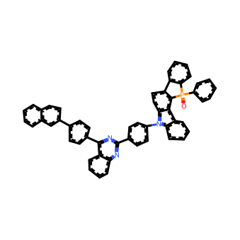 O=P1(c2ccccc2)c2ccccc2-c2ccc3c(c21)c1ccccc1n3-c1ccc(-c2nc(-c3ccc(-c4ccc5ccccc5c4)cc3)c3ccccc3n2)cc1